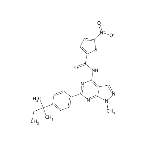 CCC(C)(C)c1ccc(-c2nc(NC(=O)c3ccc([N+](=O)[O-])s3)c3cnn(C)c3n2)cc1